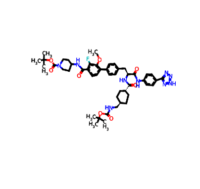 COc1c(-c2ccc(C[C@H](NC(=O)[C@H]3CC[C@H](CNC(=O)OC(C)(C)C)CC3)C(=O)Nc3ccc(-c4nn[nH]n4)cc3)cc2)ccc(C(=O)NC2CCN(C(=O)OC(C)(C)C)CC2)c1F